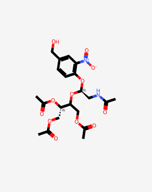 CC(=O)NC[C@H](Oc1ccc(CO)cc1[N+](=O)[O-])OC(COC(C)=O)[C@H](COC(C)=O)OC(C)=O